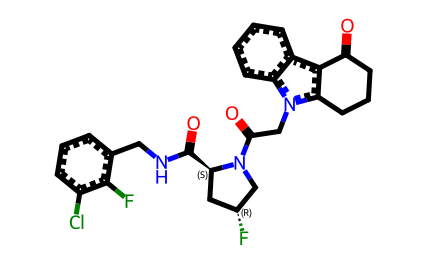 O=C1CCCc2c1c1ccccc1n2CC(=O)N1C[C@H](F)C[C@H]1C(=O)NCc1cccc(Cl)c1F